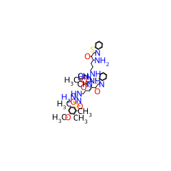 COc1cc(C)c(S(=O)(=O)N=C(N)NCCCC(C(=O)c2nc3ccccc3s2)N(NC(=N)NCCCC(N)C(=O)c2nc3ccccc3s2)C(=O)OC(C)(C)C)c(C)c1C